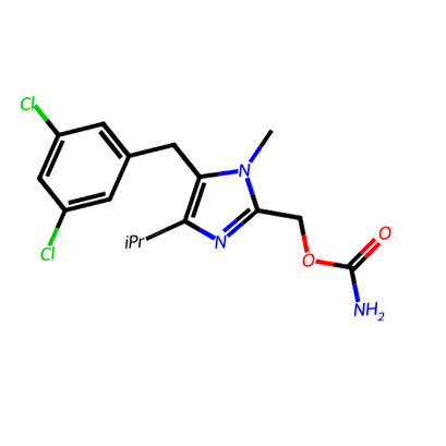 CC(C)c1nc(COC(N)=O)n(C)c1Cc1cc(Cl)cc(Cl)c1